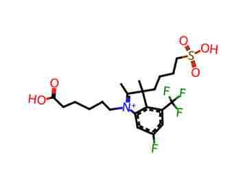 CC1=[N+](CCCCCC(=O)O)c2cc(F)cc(C(F)(F)F)c2C1(C)CCCCS(=O)(=O)O